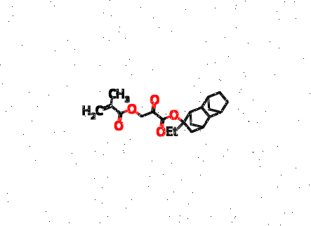 C=C(C)C(=O)OCC(=O)C(=O)OC1(CC)CC2CC1C1C3CCC(C3)C21